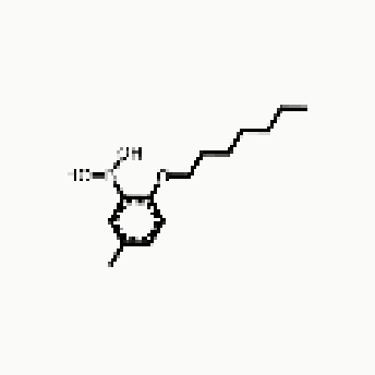 CCCCCCCOc1ccc(C)cc1B(O)O